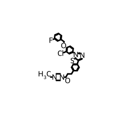 CCN1CCN(C(=O)CCc2ccc3c(c2)SC2C3=CN=CN2c2ccc(OCc3cccc(F)c3)c(Cl)c2)CC1